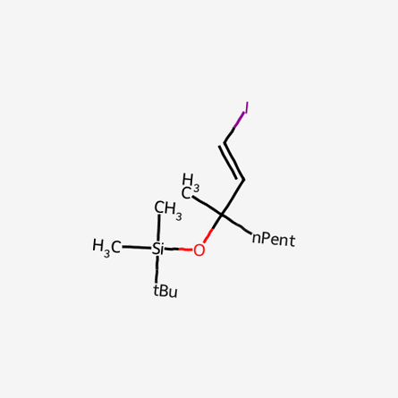 CCCCCC(C)(C=CI)O[Si](C)(C)C(C)(C)C